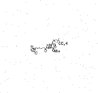 CC(C)(CC(=O)O)CC(C)(C)CC(=O)NC(CNC(=O)CCCCCN1C(=O)C=CC1=O)C(=O)OC(C)(C)C